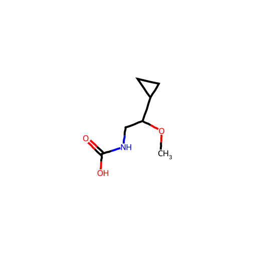 COC(CNC(=O)O)C1CC1